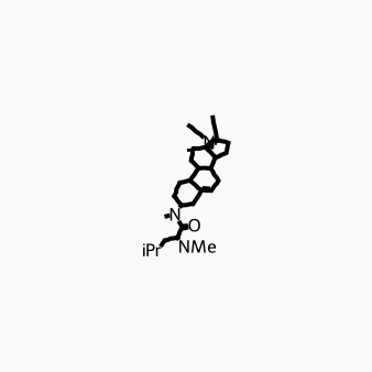 CNC(CC(C)C)C(=O)N(C)C1CCC2C(=CCC3C2CCC24C3CCC2C(C)N(C)[C@H]4C)C1